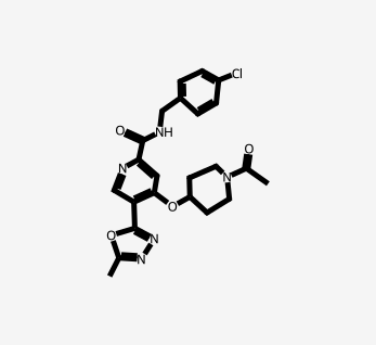 CC(=O)N1CCC(Oc2cc(C(=O)NCc3ccc(Cl)cc3)ncc2-c2nnc(C)o2)CC1